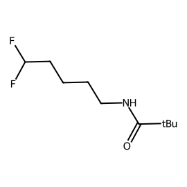 CC(C)(C)C(=O)NCCCCC(F)F